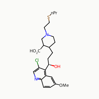 CCCSCCN1CCC(CC[C@@H](O)c2c(Cl)cnc3ccc(OC)cc23)C(C(=O)O)C1